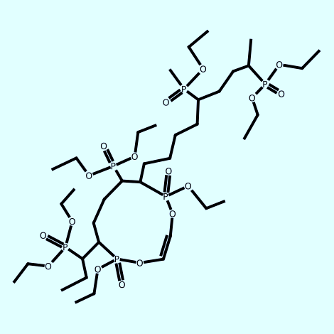 CCOP(C)(=O)C(CCCCC1C(P(=O)(OCC)OCC)CCC(C(CC)P(=O)(OCC)OCC)P(=O)(OCC)O/C=C\OP1(=O)OCC)CCC(C)P(=O)(OCC)OCC